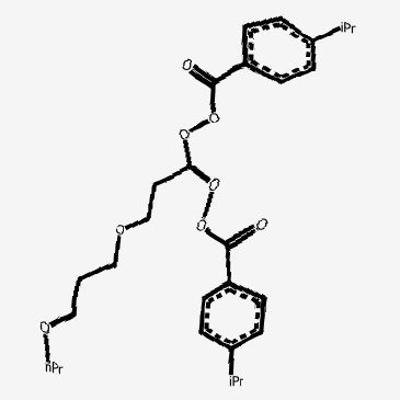 [CH2]CCOCCCOCC[C](OOC(=O)c1ccc(C(C)C)cc1)OOC(=O)c1ccc(C(C)C)cc1